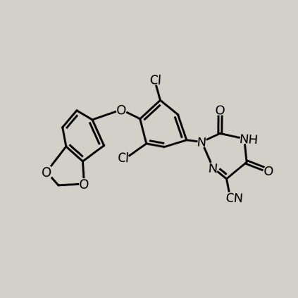 N#Cc1nn(-c2cc(Cl)c(Oc3ccc4c(c3)OCO4)c(Cl)c2)c(=O)[nH]c1=O